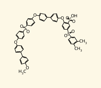 COc1ccc(-c2ccc(Oc3ccc(S(=O)(=O)c4ccc(Oc5ccc(-c6ccc(Oc7ccc(S(=O)(=O)c8ccc(C)c(C)c8)cc7S(=O)(=O)O)cc6)cc5)cc4)cc3)cc2)cc1